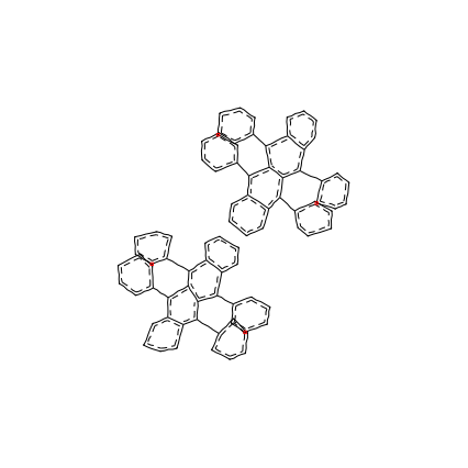 c1ccc(-c2c3ccccc3c(-c3ccccc3)c3c(-c4ccccc4)c4ccccc4c(-c4ccccc4)c23)cc1.c1ccc(-c2c3ccccc3c(-c3ccccc3)c3c(-c4ccccc4)c4ccccc4c(-c4ccccc4)c23)cc1